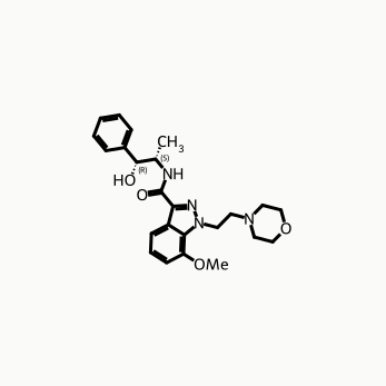 COc1cccc2c(C(=O)N[C@@H](C)[C@H](O)c3ccccc3)nn(CCN3CCOCC3)c12